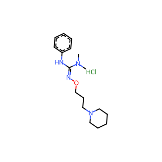 CN(C)/C(=N\OCCCN1CCCCC1)Nc1ccccc1.Cl